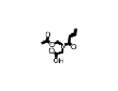 C/C=C/C(=O)N(COC(C)=O)CC(=O)O